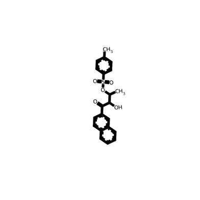 Cc1ccc(S(=O)(=O)OC(C)C(O)C(=O)c2ccc3ccccc3c2)cc1